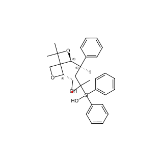 CC1(C)O[C@@H]([C@](I)(CC(C)(C)[Si](O)(c2ccccc2)c2ccccc2)c2ccccc2)C12CO[C@H]2CO